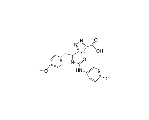 COc1ccc(CC(NC(=O)Nc2ccc(Cl)cc2)c2nnc(C(=O)O)o2)cc1